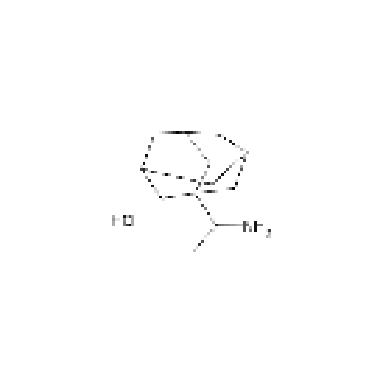 CC(N)C12CC3CC(CC(C3)C1)C2.Cl